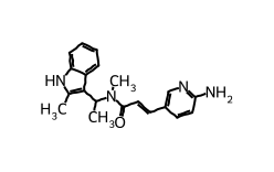 Cc1[nH]c2ccccc2c1C(C)N(C)C(=O)C=Cc1ccc(N)nc1